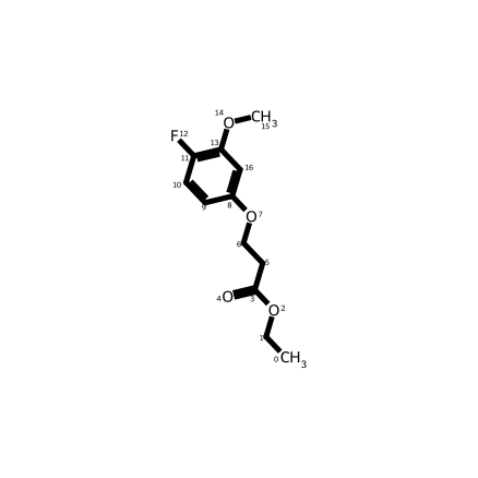 CCOC(=O)CCOc1ccc(F)c(OC)c1